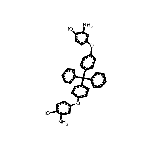 Nc1cc(Oc2ccc(C(c3ccccc3)(c3ccccc3)c3ccc(Oc4ccc(O)c(N)c4)cc3)cc2)ccc1O